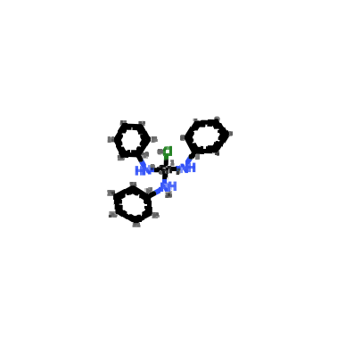 [Cl][Sn]([NH]c1ccccc1)([NH]c1ccccc1)[NH]c1ccccc1